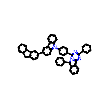 c1ccc(-c2nc(-c3ccc(-n4c5ccccc5c5cc(-c6ccc7c(c6)-c6ccccc6C7)ccc54)cc3)n3c(-c4ccccc4)c4ccccc4c3n2)cc1